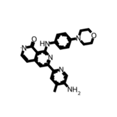 Cc1cc(-c2cc3c(c(Nc4ccc(N5CCOCC5)cc4)n2)C(=O)[N]C=C3)ncc1N